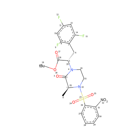 C[C@H]1C(=O)N([C@@H](Cc2c(F)cc(F)cc2F)C(=O)OC(C)(C)C)CCN1S(=O)(=O)c1ccccc1[N+](=O)[O-]